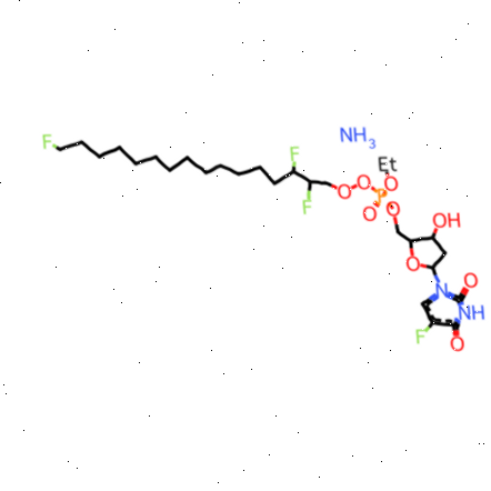 CCOP(=O)(OCC1OC(n2cc(F)c(=O)[nH]c2=O)CC1O)OOCC(F)C(F)CCCCCCCCCCCCCF.N